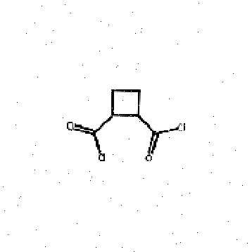 O=C(Cl)C1CCC1C(=O)Cl